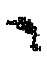 CC(=O)O[C@H]1CC[C@@]2(C)C(CC(F)(F)[C@H]3[C@@H]4CC[C@H]([C@H](C)CCCC(C)(C)O)[C@@]4(C)CC[C@@H]32)[C@H]1O